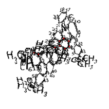 C[Si](C)(C)c1ccc(-c2ccc(F)c(N(c3ccccc3)c3ccc4ccc5c(N(c6ccccc6)c6c(F)ccc(-c7ccc([Si](C)(C)C)cc7)c6-c6ccc([Si](C)(C)C)cc6)ccc6ccc3c4c65)c2-c2ccc([Si](C)(C)C)cc2)cc1